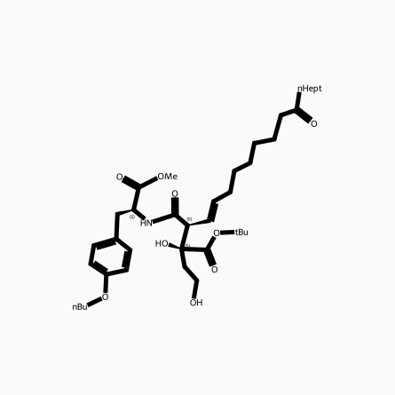 CCCCCCCC(=O)CCCCCCC=C[C@H](C(=O)N[C@@H](Cc1ccc(OCCCC)cc1)C(=O)OC)[C@@](O)(CCO)C(=O)OC(C)(C)C